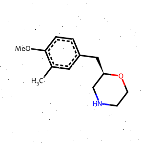 COc1ccc(C[C@@H]2CNCCO2)cc1C